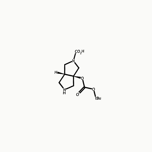 CC(C)(C)OC(=O)O[C@@]12CNC[C@@H]1CN(C(=O)O)C2